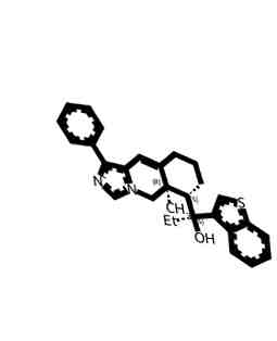 CC[C@@](O)(c1csc2ccccc12)[C@H]1CCCC2=Cc3c(-c4ccccc4)ncn3C[C@@]21C